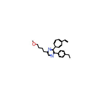 C=CC1=CC=CC(c2nc(CCCCOC)cnc2-c2ccc(CC)cc2)C=C1